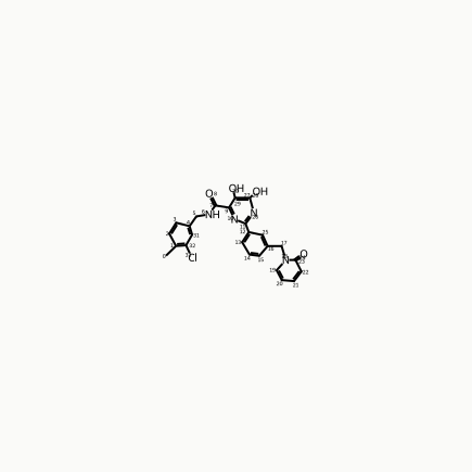 Cc1ccc(CNC(=O)c2nc(-c3cccc(Cn4ccccc4=O)c3)nc(O)c2O)cc1Cl